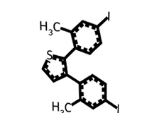 Cc1cc(I)ccc1-c1ccsc1-c1ccc(I)cc1C